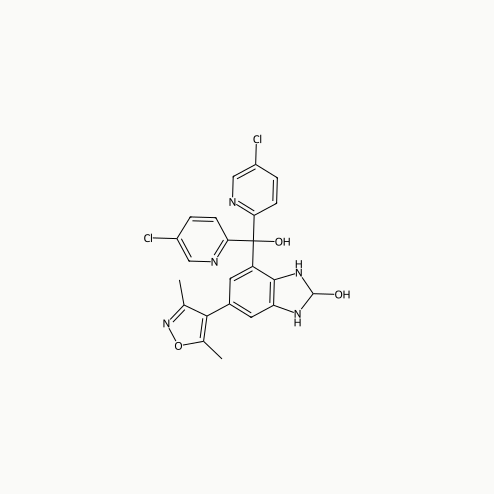 Cc1noc(C)c1-c1cc2c(c(C(O)(c3ccc(Cl)cn3)c3ccc(Cl)cn3)c1)NC(O)N2